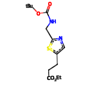 CCOC(=O)CCc1cnc(CNC(=O)OC(C)(C)C)s1